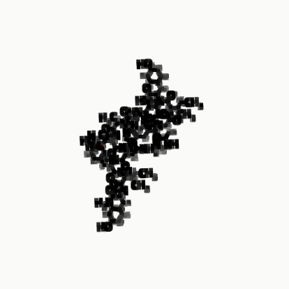 CC[C@H](C)[C@H](NC(=O)C(Cc1ccc(O)cc1)NC(=O)[C@H](CC(N)=O)NC(=O)[C@@H](NC(=O)[C@H](C)NC(=O)CNC(=O)[C@H](CC(C)C)NC(=O)C(Cc1ccc(O)cc1)NC(=O)[C@@H](NC(=O)[C@H](Cc1cnc[nH]1)NC(=O)[C@@H](N)Cc1cnc[nH]1)[C@@H](C)CC)C(C)C)C(=O)N[C@@H](Cc1ccc(O)cc1)C(N)=O